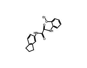 CCOc1ccccc1NC(=O)C(=O)Nc1ccc2c(c1)CCC2